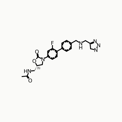 CC(=O)NC[C@H]1CN(c2ccc(-c3ccc(CNCC4=NN=NC4)cc3)c(F)c2)C(=O)O1